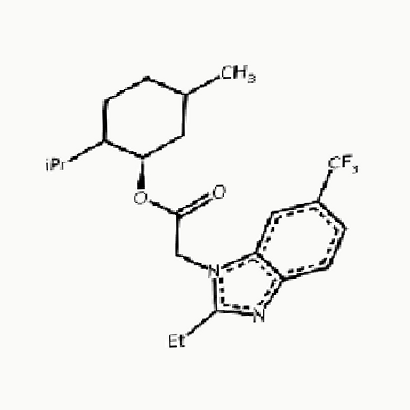 CCc1nc2ccc(C(F)(F)F)cc2n1CC(=O)O[C@@H]1CC(C)CCC1C(C)C